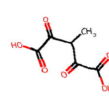 CC(C(=O)C(=O)O)C(=O)C(=O)O